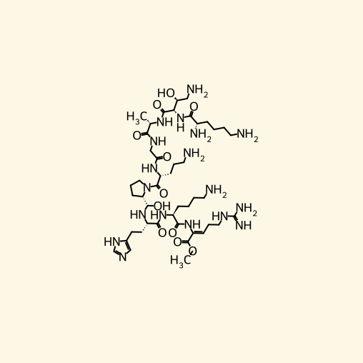 COC(=O)/C(=C/CCNC(=N)N)NC(=O)[C@H](CCCCN)NC(=O)[C@H](CCc1cnc[nH]1)NC(O)[C@@H]1CCCN1C(=O)[C@@H](CCCN)NC(=O)CNC(=O)[C@H](C)NC(=O)[C@@H](NC(=O)[C@@H](N)CCCCN)[C@@H](O)CN